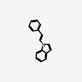 [c]1cn(C=Cc2ccccc2)c2ccccc12